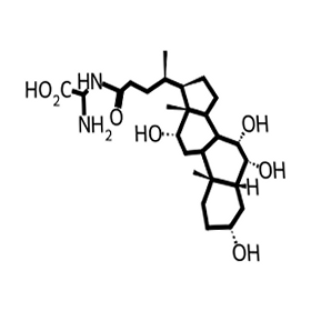 C[C@H](CCC(=O)NC(N)C(=O)O)[C@H]1CCC2C3C(C[C@H](O)[C@@]21C)[C@@]1(C)CC[C@@H](O)C[C@H]1[C@@H](O)[C@H]3O